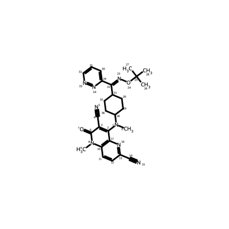 CN(c1c(C#N)c(=O)n(C)c2ccc(C#N)nc12)C1CCC(/C(=N\OC(C)(C)C)c2cccnn2)CC1